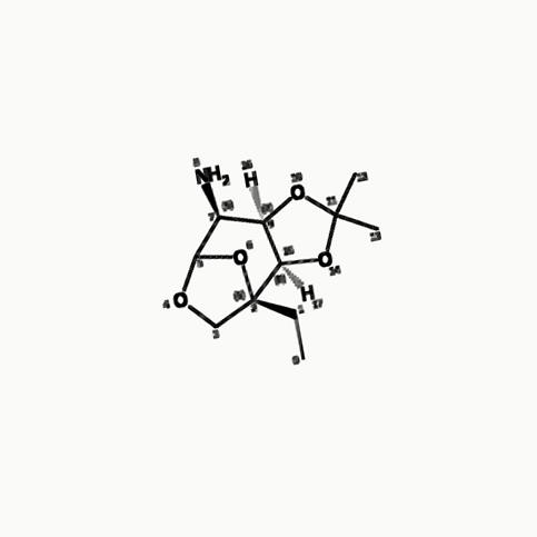 CC[C@@]12COC(O1)[C@@H](N)[C@H]1OC(C)(C)O[C@H]12